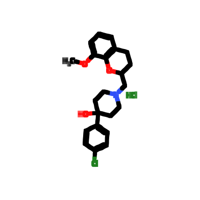 COc1cccc2c1OC(CN1CCC(O)(c3ccc(Cl)cc3)CC1)CC2.Cl